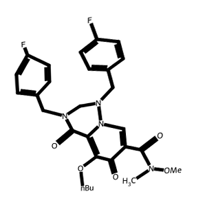 CCCCOc1c2n(cc(C(=O)N(C)OC)c1=O)N(Cc1ccc(F)cc1)CN(Cc1ccc(F)cc1)C2=O